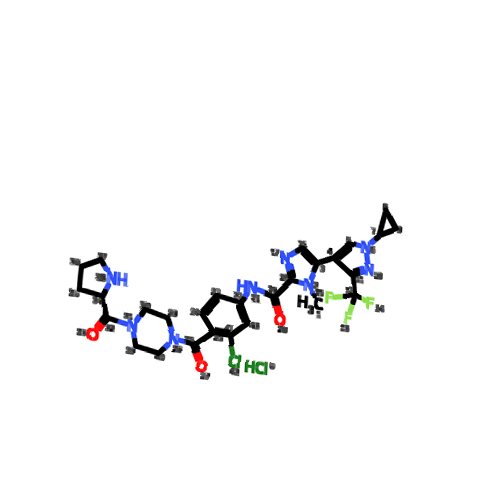 Cl.Cn1c(-c2cn(C3CC3)nc2C(F)(F)F)cnc1C(=O)Nc1ccc(C(=O)N2CCN(C(=O)[C@H]3CCCN3)CC2)c(Cl)c1